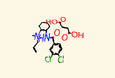 C=CCN(C)C1CCCCC1NC(=O)c1ccc(Cl)c(Cl)c1.O=C(O)C=CC(=O)O